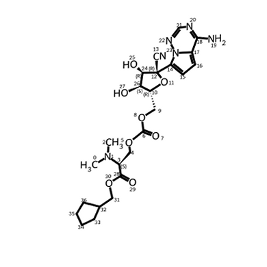 CN(C)[C@@H](COC(=O)OC[C@H]1O[C@@](C#N)(c2ccc3c(N)ncnn23)[C@H](O)[C@@H]1O)C(=O)OCC1CCCC1